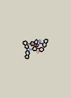 CC1C/C=C(c2cccc3ccccc23)/N=C(c2cccc3ccccc23)\N=C/1c1cc(-n2c3cc4ccccc4cc3c3cc4ccccc4cc32)cc2oc3ccccc3c12